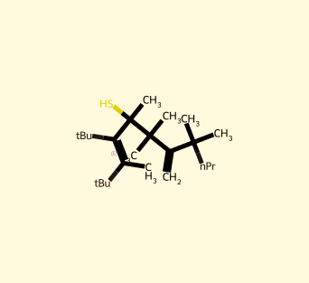 C=C(C(C)(C)CCC)C(C)(C)C(C)(S)/C(=C(\C)C(C)(C)C)C(C)(C)C